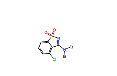 CCN(CC)C1=NS(=O)(=O)c2cccc(Cl)c21